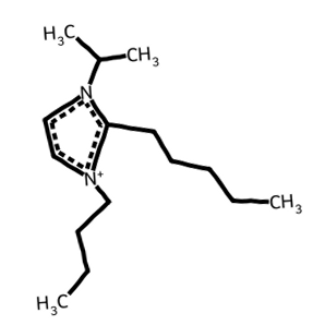 CCCCCc1n(C(C)C)cc[n+]1CCCC